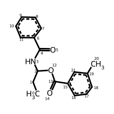 CCC(NC(=O)c1ccccc1)OC(=O)c1cccc(C)c1